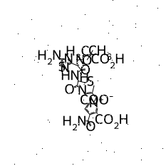 CC(C)(O/N=C(\C(=O)N[C@@H]1C(=O)N2C(C(=O)[O-])=C(C[n+]3ccc(C(N)=O)c(C(=O)O)c3)CS[C@H]12)c1nsc(N)n1)C(=O)O